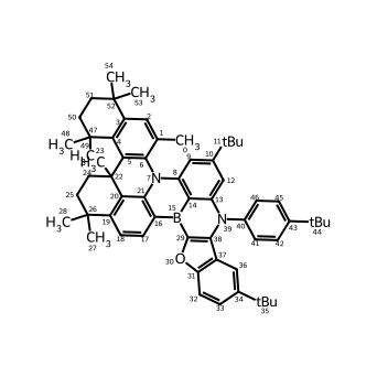 Cc1cc2c(c3c1N1c4cc(C(C)(C)C)cc5c4B(c4ccc6c(c41)C3(C)CCC6(C)C)c1oc3ccc(C(C)(C)C)cc3c1N5c1ccc(C(C)(C)C)cc1)C(C)(C)CCC2(C)C